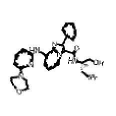 CC(C)C[C@@H](CO)NC(=O)c1c(-c2ccccc2)nc2c(Nc3cccc(N4CCOCC4)n3)cccn12